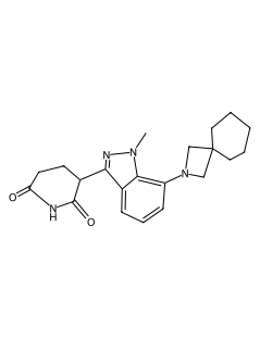 Cn1nc(C2CCC(=O)NC2=O)c2cccc(N3CC4(CCCCC4)C3)c21